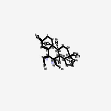 C[C@]12CCC(=O)C=C1C(=C/F)/C(=C/F)[C@@H]1[C@@H]2CC[C@]2(C)OCC[C@@H]12